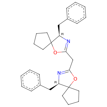 c1ccc(C[C@H]2N=C(CC3=N[C@H](Cc4ccccc4)C4(CCCC4)O3)OC23CCCC3)cc1